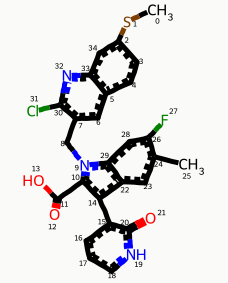 CSc1ccc2cc(Cn3c(C(=O)O)c(-c4ccc[nH]c4=O)c4cc(C)c(F)cc43)c(Cl)nc2c1